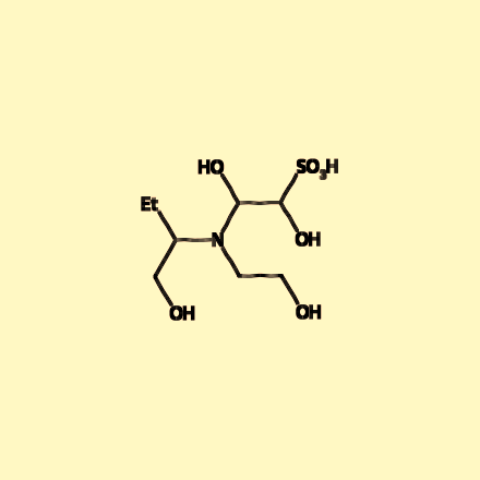 CCC(CO)N(CCO)C(O)C(O)S(=O)(=O)O